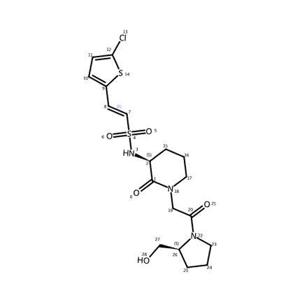 O=C1[C@@H](NS(=O)(=O)/C=C/c2ccc(Cl)s2)CCCN1CC(=O)N1CCC[C@H]1CO